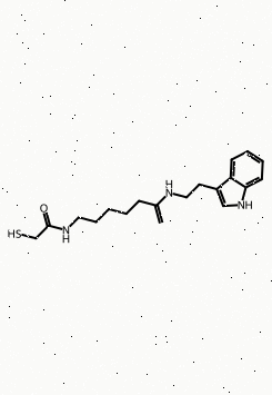 C=C(CCCCCNC(=O)CS)NCCc1c[nH]c2ccccc12